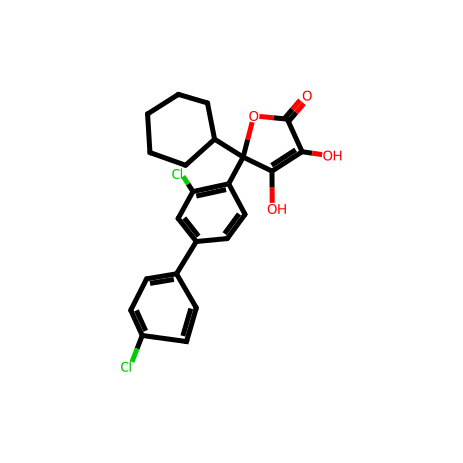 O=C1OC(c2ccc(-c3ccc(Cl)cc3)cc2Cl)(C2CCCCC2)C(O)=C1O